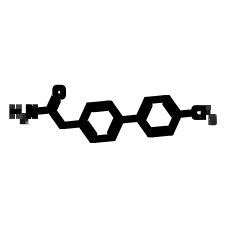 NC(=O)Cc1ccc(-c2ccc(C(F)(F)F)cc2)cc1